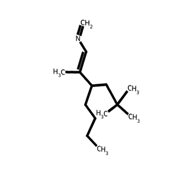 C=N/C=C(\C)C(CCCC)CC(C)(C)C